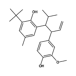 C=CC(c1ccc(O)c(OC)c1)C(c1cc(C)cc(C(C)(C)C)c1O)C(C)C